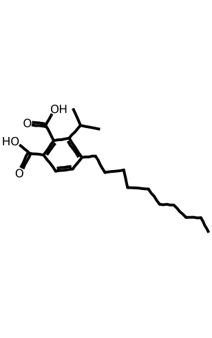 CCCCCCCCCCc1ccc(C(=O)O)c(C(=O)O)c1C(C)C